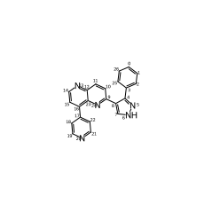 c1ccc(-c2n[nH]cc2-c2ccc3nccc(-c4ccncc4)c3n2)cc1